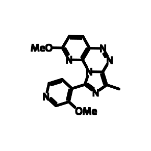 COc1ccc2nnc3c(C)nc(-c4ccncc4OC)n3c2n1